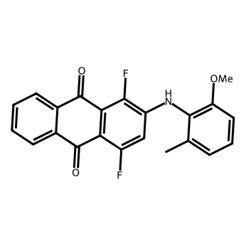 COc1cccc(C)c1Nc1cc(F)c2c(c1F)C(=O)c1ccccc1C2=O